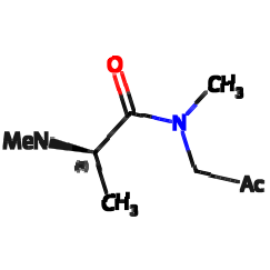 CN[C@H](C)C(=O)N(C)CC(C)=O